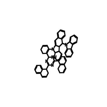 C1=CC(N2C3=Cc4ccccc4C(n4c5ccccc5c5ccccc54)C3C3C=CCCC32)=C(C2N=C(C3CC=Cc4ccccc43)N=C(c3cccc4c3CCC=C4)N2)CC1